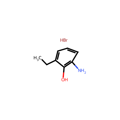 Br.CCc1cccc(N)c1O